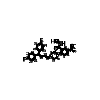 C=[N+]([O-])c1ccc(N2CCN(CCCC(c3ccc(F)cc3)c3ccc(F)cc3)CC2)c(C(=O)NO)c1